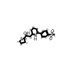 CS(=O)(=O)c1ccc(C2CCCC(C[C@@H](O)C3CCCS3)N2)cc1